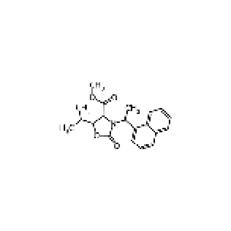 COC(=O)C1C(C(C)C)OC(=O)N1C(C)c1cccc2ccccc12